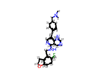 CN(C)Cc1ccc(-c2cnc(NCc3c(F)ccc4c3CCO4)c3cncnc23)cc1